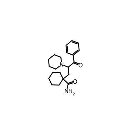 NC(=O)C1(CC(C(=O)c2ccccc2)N2CCCCC2)CCCCC1